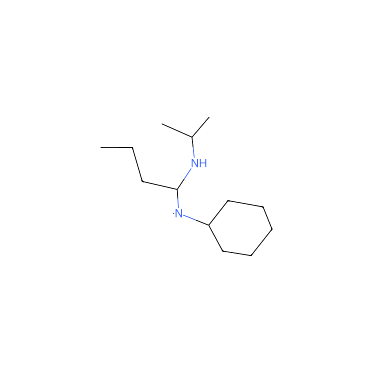 CCCC([N]C1CCCCC1)NC(C)C